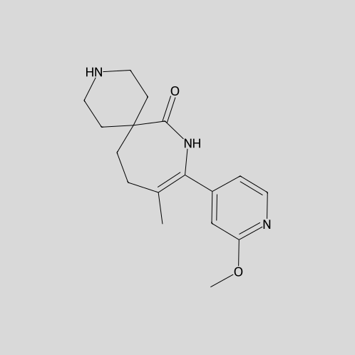 COc1cc(C2=C(C)CCC3(CCNCC3)C(=O)N2)ccn1